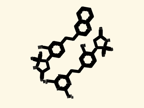 Nc1nc(N)nc(CCc2ccc(N3CC(=O)NS3(=O)=O)c(O)c2)n1.O=C1CN(c2ccc(CCc3cnc4ccccc4c3)cc2O)S(=O)(=O)N1